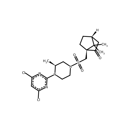 C[C@H]1CN(S(=O)(=O)C[C@]23CC[C@H](CC2=O)C3(C)C)CCN1c1nc(Cl)cc(Cl)n1